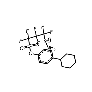 NS(=O)(=O)C(F)(F)C(F)(F)C(F)(F)S(=O)(=O)Oc1ccc(C2CCCCC2)cc1